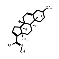 CC(=O)OC1CC[C@@]2(C)C(=CC[C@@H]3[C@@H]2CC[C@]2(C)C(C(C)=NO)=CC[C@@H]32)C1